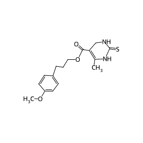 COc1ccc(CCCOC(=O)C2=C(C)NC(=S)NC2)cc1